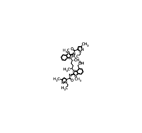 CCn1nc(C)cc1C(=O)N=c1n(C)c2cccc(CO)c2n1[C@@H](C)CC[C@@H](C)n1/c(=N/C(=O)c2cc(C)nn2CC)n(C)c2ccccc21